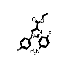 CCOC(=O)c1cn(-c2ccc(F)cc2)cn1.Nc1ccc(F)cc1